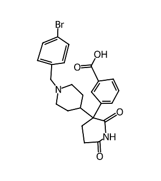 O=C1CCC(c2cccc(C(=O)O)c2)(C2CCN(Cc3ccc(Br)cc3)CC2)C(=O)N1